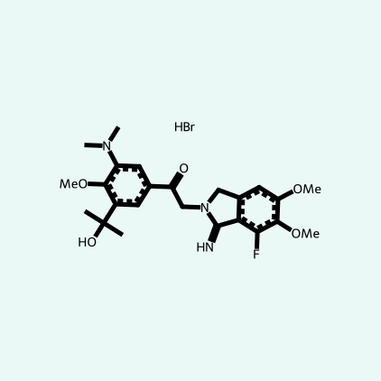 Br.COc1cc2c(c(F)c1OC)C(=N)N(CC(=O)c1cc(N(C)C)c(OC)c(C(C)(C)O)c1)C2